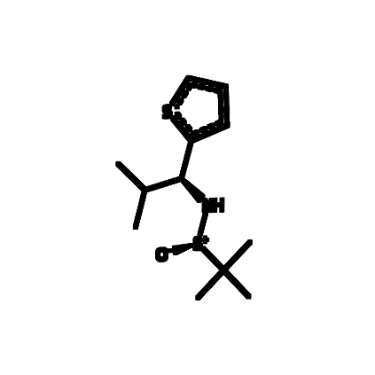 CC(C)[C@H](N[S@+]([O-])C(C)(C)C)c1cccs1